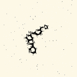 c1cncc(-c2nc3cc(Nc4cccc(CN5CCCC5)n4)ncc3s2)c1